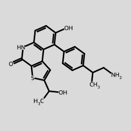 CC(O)c1cc2c(s1)c(=O)[nH]c1ccc(O)c(-c3ccc(C(C)CN)cc3)c12